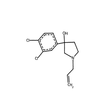 C=CCN1CCC(O)(c2ccc(Cl)c(Cl)c2)C1